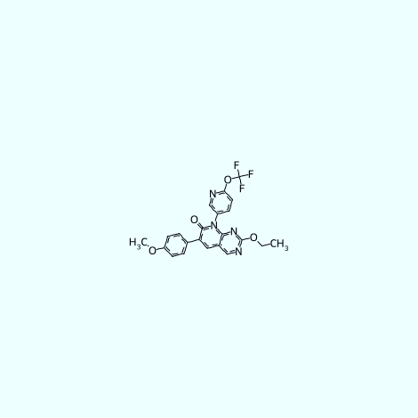 CCOc1ncc2cc(-c3ccc(OC)cc3)c(=O)n(-c3ccc(OC(F)(F)F)nc3)c2n1